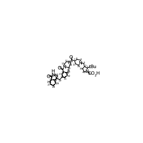 CC(C)(C)C1C(CN2CCC(C(=O)N3CCN(C(=O)c4cc(Cc5n[nH]c(=O)c6ccccc56)ccc4F)CC3)CC2)CCN1C(=O)O